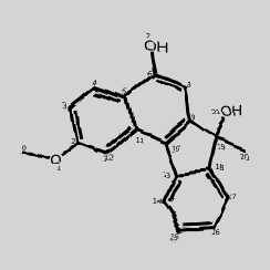 COc1ccc2c(O)cc3c(c2c1)-c1ccccc1C3(C)O